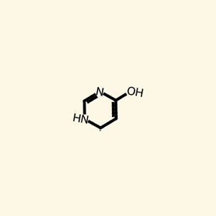 OC1=C[CH]NC=N1